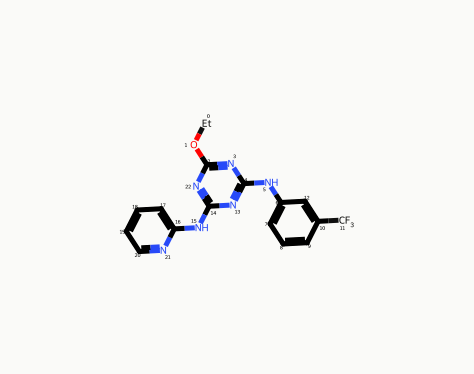 CCOc1nc(Nc2cccc(C(F)(F)F)c2)nc(Nc2ccccn2)n1